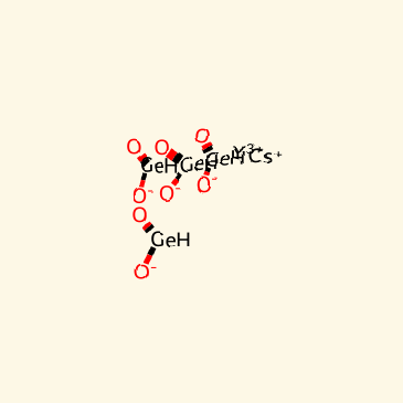 [Cs+].[O]=[GeH][O-].[O]=[GeH][O-].[O]=[GeH][O-].[O]=[GeH][O-].[Y+3]